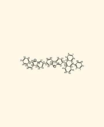 c1ccc(-c2c3ccccc3c(-c3ccc4c(c3)oc3cc(-c5ccc6c(c5)oc5c7ccccc7ccc65)ccc34)c3ccccc23)cc1